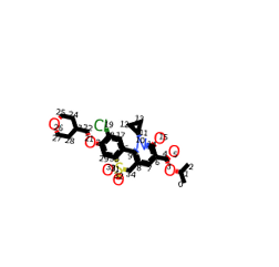 CC(C)OC(=O)c1cc2c(n(C3CC3)c1=O)-c1cc(Cl)c(OCC3CCOCC3)cc1S(=O)(=O)C2